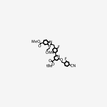 COCCn1c(Cc2ccc(-c3cc(C(=O)OC(C)(C)C)cc(OCc4ccc(C#N)cc4F)n3)cc2F)nc2ccc(C(=O)OC)cc21